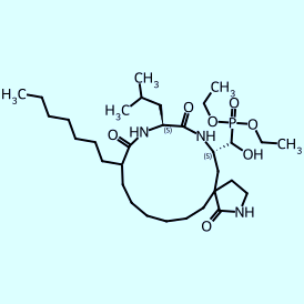 CCCCCCCC1CCCCCCC2(CCNC2=O)C[C@@H](C(O)P(=O)(OCC)OCC)NC(=O)[C@H](CC(C)C)NC1=O